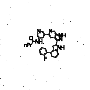 CCCC(=O)Nc1cncc(-c2cc3c(-c4cc5c(-c6ccccc6F)cccc5[nH]4)n[nH]c3cn2)c1